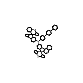 c1ccc(-c2ccc(-c3ccc(N(c4ccc5c(c4)-c4c(ccc6ccccc46)C54c5ccccc5Sc5ccccc54)c4ccc5c(c4)C4(c6ccccc6Oc6ccccc64)c4ccccc4-5)cc3)cc2)cc1